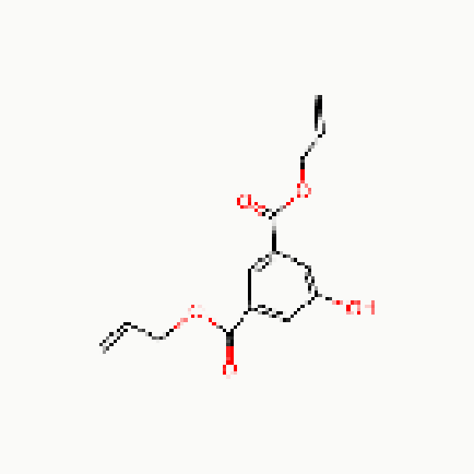 C=CCOC(=O)c1cc(O)cc(C(=O)OCC=C)c1